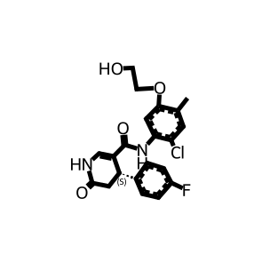 Cc1cc(Cl)c(NC(=O)C2=CNC(=O)C[C@H]2c2ccc(F)cc2)cc1OCCO